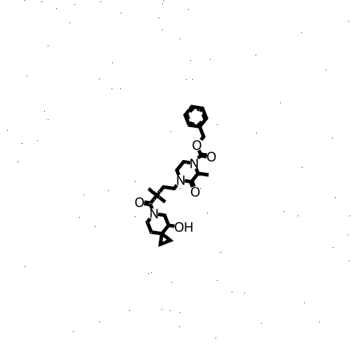 CC1C(=O)N(CCC(C)(C)C(=O)N2CCC3(CC3)C(O)C2)CCN1C(=O)OCc1ccccc1